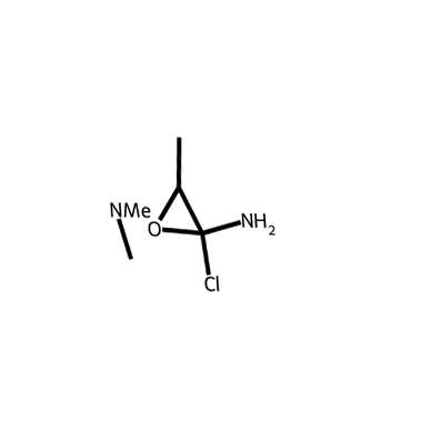 CC1OC1(N)Cl.CNC